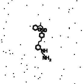 CC(CS(=O)(=O)c1ccc(CCc2cccc(NCCN)c2)cc1)c1ccccc1